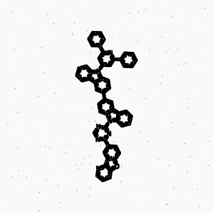 c1ccc(-c2cc(-n3c4ccccc4c4cc(-c5ccc6c(c5)c5ccccc5n6-c5ncnc(-c6ccc7oc8cccnc8c7c6)n5)ccc43)cc(-c3ccccc3)n2)cc1